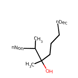 CCCCCCCCCCCCCC(C)(O)C(C)CCCCCCCCC